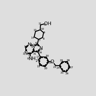 Nc1ncnn2c(C3CCC(CO)CC3)nc(-c3cccc(OCc4ccccc4)c3)c12